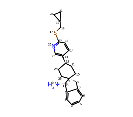 N[C@H]1c2ccccc2C[C@]12CC[C@H](c1ccc(SCC3CC3)nc1)CC2